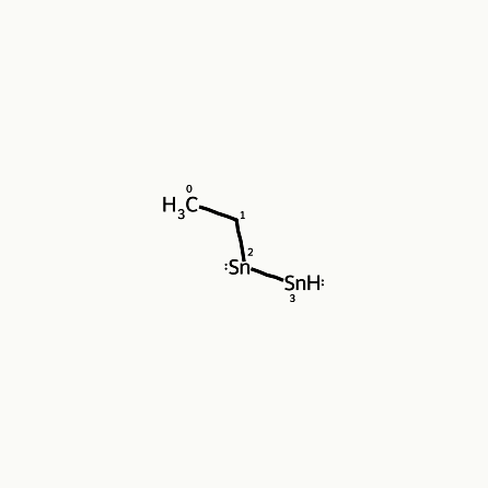 C[CH2][Sn][SnH]